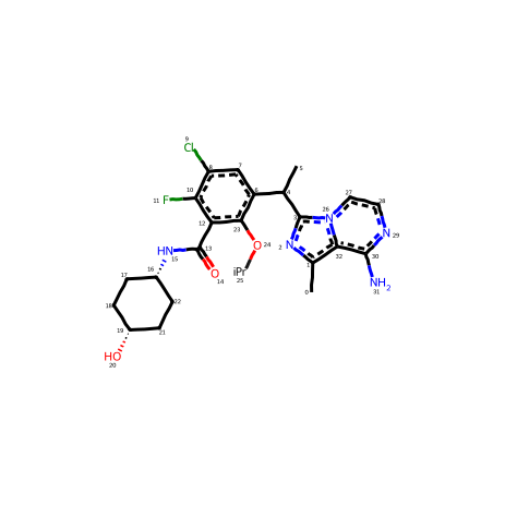 Cc1nc(C(C)c2cc(Cl)c(F)c(C(=O)N[C@H]3CC[C@@H](O)CC3)c2OC(C)C)n2ccnc(N)c12